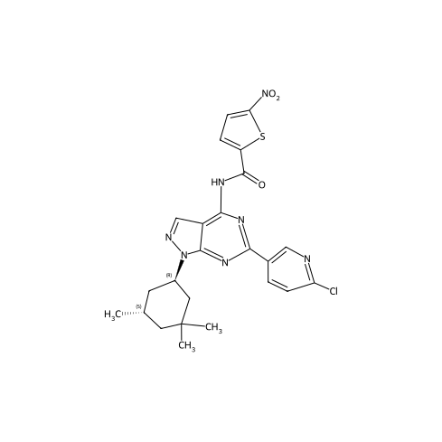 C[C@@H]1C[C@@H](n2ncc3c(NC(=O)c4ccc([N+](=O)[O-])s4)nc(-c4ccc(Cl)nc4)nc32)CC(C)(C)C1